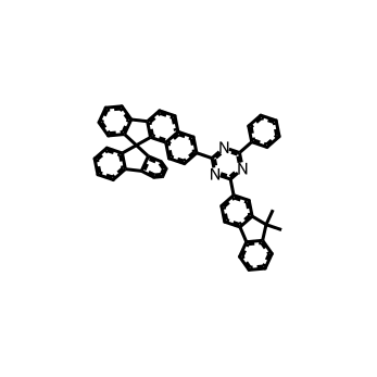 CC1(C)c2ccccc2-c2ccc(-c3nc(-c4ccccc4)nc(-c4ccc5c6c(ccc5c4)-c4ccccc4C64c5ccccc5-c5ccccc54)n3)cc21